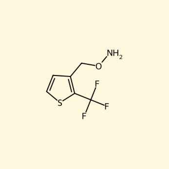 NOCc1ccsc1C(F)(F)F